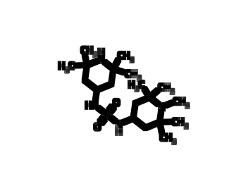 CN1C(C)(C)CC(NS(=O)(=O)NC2CC(C)(C)NC(C)(C)C2)CC1(C)C